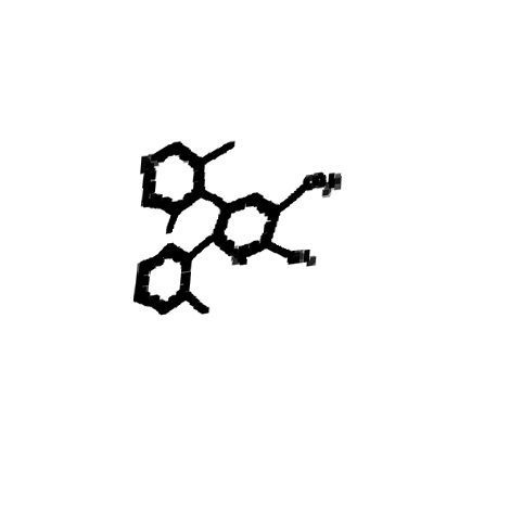 Cc1ccccc1-c1nc(N)c(C(=O)O)cc1-c1c(C)cncc1C